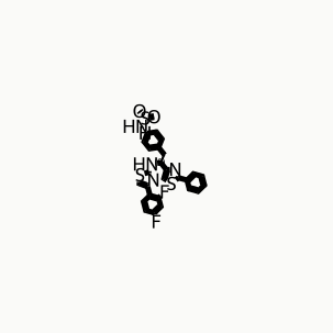 O=[SH](=O)Nc1ccc(C[C@H](Nc2nc(-c3ccc(F)cc3F)cs2)c2csc(-c3ccccc3)n2)cc1